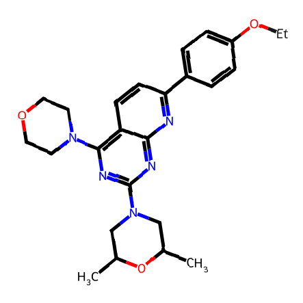 CCOc1ccc(-c2ccc3c(N4CCOCC4)nc(N4CC(C)OC(C)C4)nc3n2)cc1